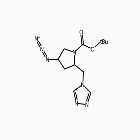 CC(C)(C)OC(=O)N1CC(N=[N+]=[N-])CC1Cn1cnnc1